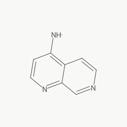 [NH]c1ccnc2cnccc12